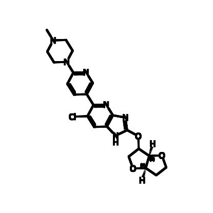 CN1CCN(c2ccc(-c3nc4nc(OC5CO[C@@H]6CCO[C@H]56)[nH]c4cc3Cl)cn2)CC1